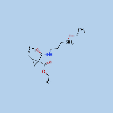 C=CC1CC1(C(=O)NCCC[SiH2]OCC)C(=O)OCC